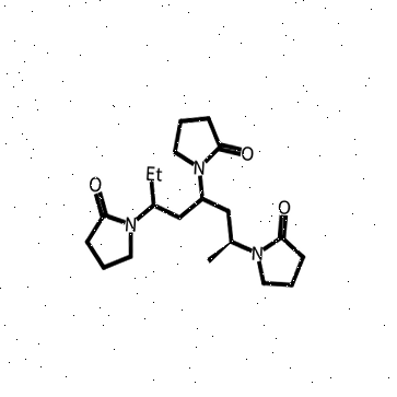 CCC(CC(C[C@H](C)N1CCCC1=O)N1CCCC1=O)N1CCCC1=O